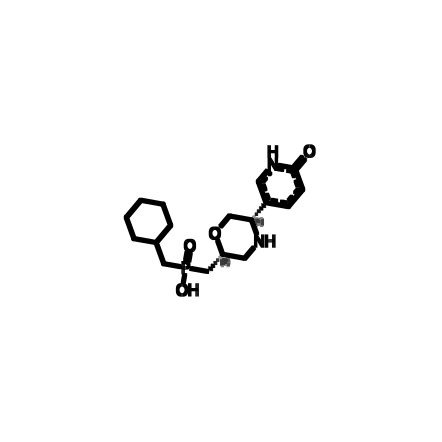 O=c1ccc([C@H]2CO[C@@H](CP(=O)(O)CC3CCCCC3)CN2)c[nH]1